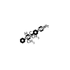 CC(C)N1CCN(c2ccc(C(C)(C)N3CCN(c4ccccc4)C(C)C3)cc2)CC1